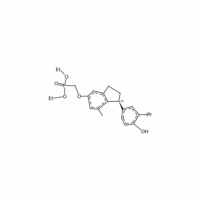 CCOP(=O)(COc1cc(C)c2c(c1)CC[C@H]2c1ccc(O)c(C(C)C)c1)OCC